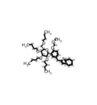 CCCCOC[C@H]1O[C@@H](c2cc(Cc3cc4ccccc4s3)ccc2OCOC)[C@H](OCCCC)[C@@H](OCCCC)[C@@H]1OCCCC